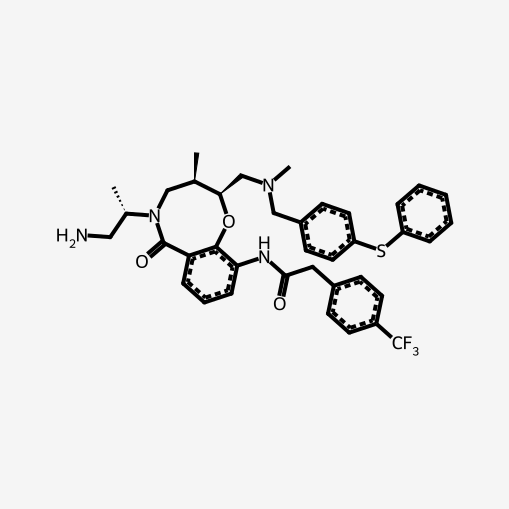 C[C@@H]1CN([C@@H](C)CN)C(=O)c2cccc(NC(=O)Cc3ccc(C(F)(F)F)cc3)c2O[C@@H]1CN(C)Cc1ccc(Sc2ccccc2)cc1